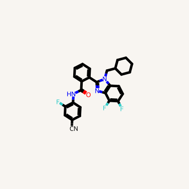 N#Cc1ccc(NC(=O)c2ccccc2-c2nc3c(F)c(F)ccc3n2CC2CCCCC2)c(F)c1